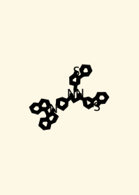 C1=Cc2ccc3c(c2CC1)c1c2ccccc2ccc1n3-c1ccc(-c2cc(-c3ccc4sc5ccccc5c4c3)nc(-c3ccc4sc5ccccc5c4c3)n2)cc1